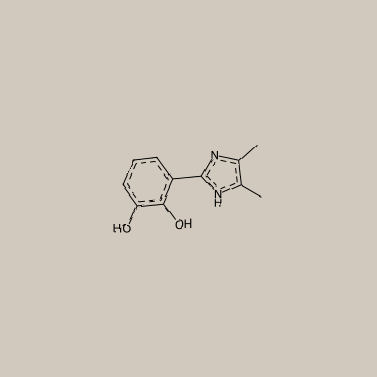 Cc1nc(-c2cccc(O)c2O)[nH]c1C